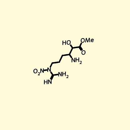 COC(=O)C(O)C(N)CCCN(C(=N)N)[N+](=O)[O-]